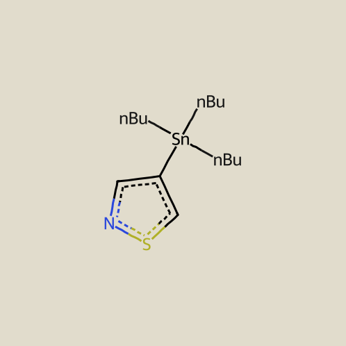 CCC[CH2][Sn]([CH2]CCC)([CH2]CCC)[c]1cnsc1